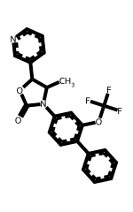 CC1C(c2cccnc2)OC(=O)N1c1ccc(-c2ccccc2)c(OC(F)(F)F)c1